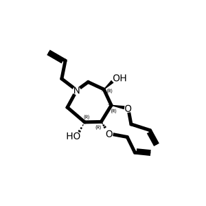 C=CCO[C@H]1[C@H](OCC=C)[C@H](O)CN(CC=C)C[C@H]1O